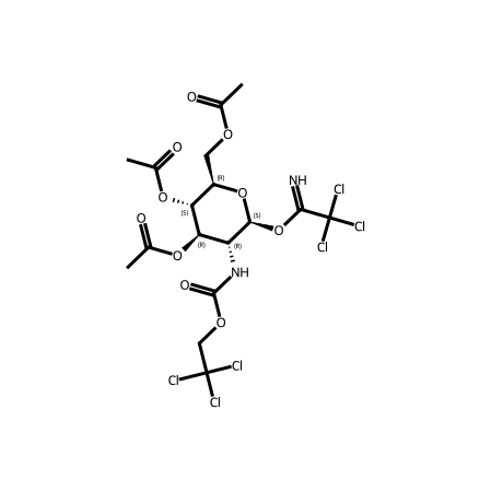 CC(=O)OC[C@H]1O[C@@H](OC(=N)C(Cl)(Cl)Cl)[C@H](NC(=O)OCC(Cl)(Cl)Cl)[C@@H](OC(C)=O)[C@@H]1OC(C)=O